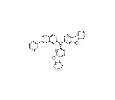 c1ccc(-c2ccc3ccc(N(c4cnc5c(c4)oc4ccccc45)c4ccc5c(n4)oc4ccccc45)cc3c2)cc1